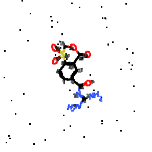 NC(N)=NC(=O)c1ccc2c(c1)C(=O)OCS2(=O)=O